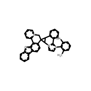 CCCc1cccc(C)c1-n1cc[n+]2c1-c1ccccc1C1C2C12C[n+]1ccccc1-c1c2ccc2c1oc1ccccc12